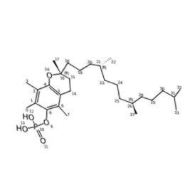 Cc1c(C)c2c(c(C)c1OP(=O)(O)O)CC[C@@](C)(CCC[C@H](C)CCC[C@H](C)CCCC(C)C)O2